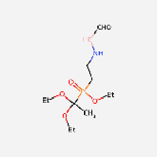 CCOC(C)(OCC)P(=O)(CCNBC=O)OCC